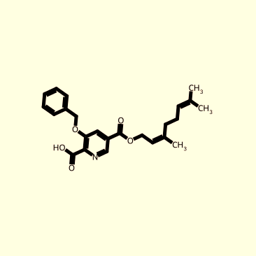 CC(C)=CCCC(C)=CCOC(=O)c1cnc(C(=O)O)c(OCc2ccccc2)c1